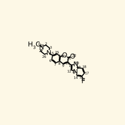 CN1CCN(c2ccc3cc(-c4cn5cc(F)ccc5n4)c(=O)oc3c2)CC1